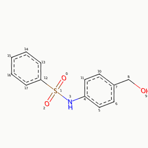 O=S(=O)(Nc1ccc(CO)cc1)c1ccccc1